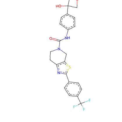 O=C(Nc1ccc(C2(O)COC2)cc1)N1CCc2nc(-c3ccc(C(F)(F)F)cc3)sc2C1